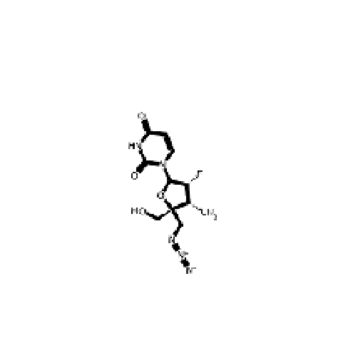 C[C@H]1[C@@H](F)C(n2ccc(=O)[nH]c2=O)O[C@@]1(CO)CN=[N+]=[N-]